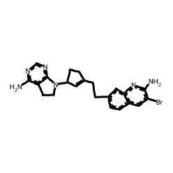 Nc1nc2cc(CCC3=CC(N4CCc5c(N)ncnc54)CC3)ccc2cc1Br